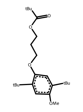 COc1cc(C(C)(C)C)c(OCCCOC(=O)C(C)(C)C)cc1C(C)(C)C